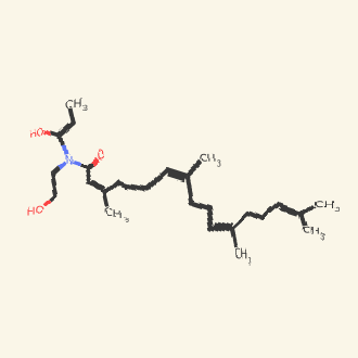 CCC(O)N(CCO)C(=O)C=C(C)CCC=C(C)CCC=C(C)CCC=C(C)C